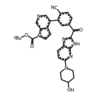 CC(C)(C)OC(=O)n1ccc2c(-c3cc(C(=O)c4nc5ccc(N6CCC(O)CC6)nc5[nH]4)ccc3C#N)cncc21